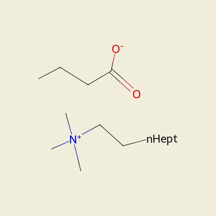 CCCC(=O)[O-].CCCCCCCCC[N+](C)(C)C